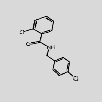 O=C(NCc1ccc(Cl)cc1)c1ccccc1Cl